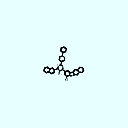 CCC1C(c2ccc3ccccc3c2)=NC(C2=CCC(c3ccccc3)C=C2)=NC1c1cc(Cl)c2sc3cc4ccccc4cc3c2c1